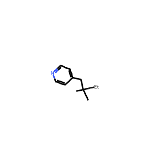 CCC(C)(C)Cc1ccncc1